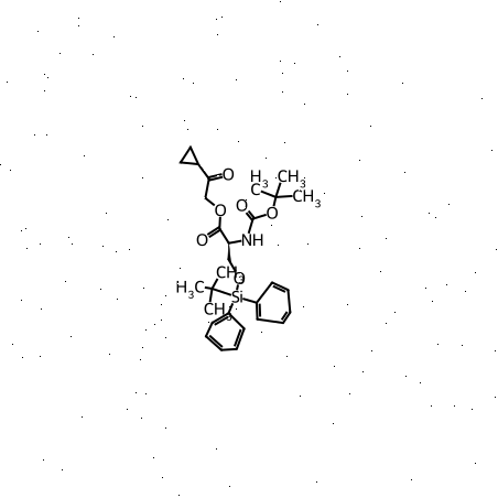 CC(C)(C)OC(=O)N[C@@H](CO[Si](c1ccccc1)(c1ccccc1)C(C)(C)C)C(=O)OCC(=O)C1CC1